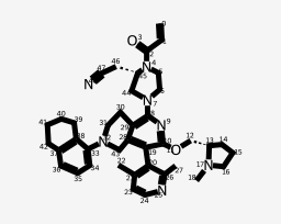 C=CC(=O)N1CCN(c2nc(OC[C@@H]3CCCN3C)c(-c3c(C)ccnc3C)c3c2CCN(c2cccc4c2CCCC4)C3)C[C@@H]1CC#N